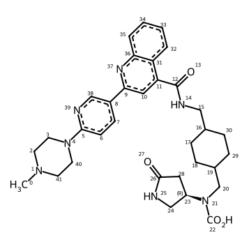 CN1CCN(c2ccc(-c3cc(C(=O)NCC4CCC(CN(C(=O)O)[C@H]5CNC(=O)C5)CC4)c4ccccc4n3)cn2)CC1